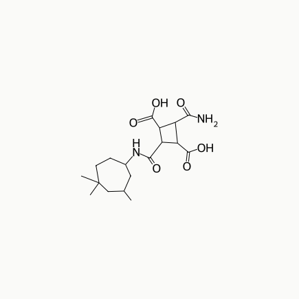 CC1CC(NC(=O)C2C(C(=O)O)C(C(N)=O)C2C(=O)O)CCC(C)(C)C1